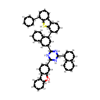 c1ccc(-c2cccc3c2sc2c(-c4cc(-c5nc(-c6ccc7c(c6)oc6ccccc67)nc(-c6cccc7ccccc67)n5)cc5ccccc45)cccc23)cc1